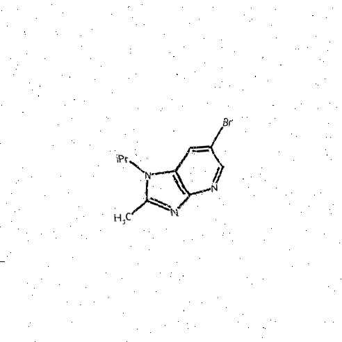 Cc1nc2ncc(Br)cc2n1C(C)C